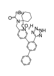 CCCCC(=O)N(Cc1ccc(-c2cc(-c3ccccc3)ccc2-c2nn[nH]n2)cn1)C1(C(=O)O)CCCCC1